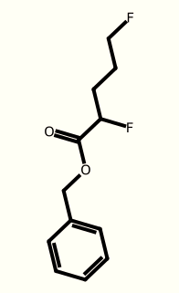 O=C(OCc1ccccc1)C(F)CCCF